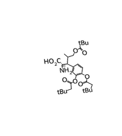 CC(COC(=O)C(C)(C)C)C(c1ccc(OC(=O)CC(C)(C)C)c(OC(=O)CC(C)(C)C)c1)[C@H](N)C(=O)O